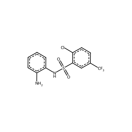 Nc1ccccc1NS(=O)(=O)c1cc(C(F)(F)F)ccc1Cl